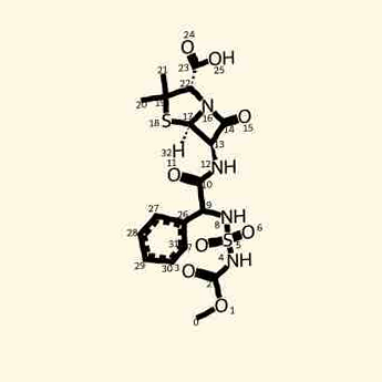 COC(=O)NS(=O)(=O)NC(C(=O)N[C@@H]1C(=O)N2[C@@H]1SC(C)(C)[C@@H]2C(=O)O)c1ccccc1